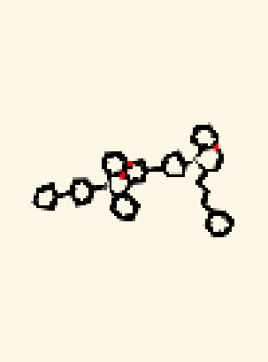 C\C=C/C(=C\C=C\c1ccccc1)N(C1=CC=C(c2cccc(-c3ccccc3N(c3ccccc3)c3ccc(C4=CCCC=C4)cc3)c2)CC1)c1ccccc1